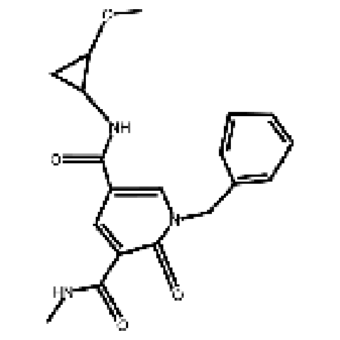 CNC(=O)c1cc(C(=O)NC2CC2OC)cn(Cc2ccccc2)c1=O